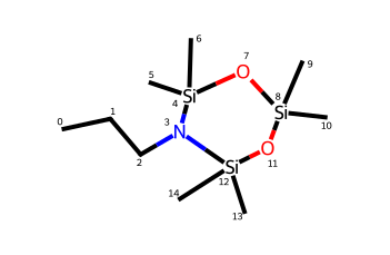 CCCN1[Si](C)(C)O[Si](C)(C)O[Si]1(C)C